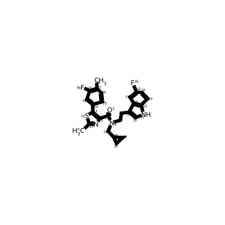 Cc1nc(C(=O)N(CCc2c[nH]c3ccc(F)cc23)CC2CC2)c(-c2ccc(C)c(F)c2)s1